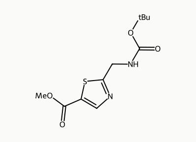 COC(=O)c1cnc(CNC(=O)OC(C)(C)C)s1